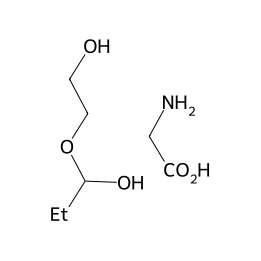 CCC(O)OCCO.NCC(=O)O